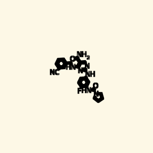 N#Cc1cccc(CNc2nc(Nc3ccc(F)c(NC(=O)N4CCCC4)c3)ncc2C(N)=O)c1